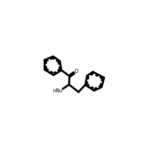 CCCCC(Cc1ccccc1)C(=O)c1ccccc1